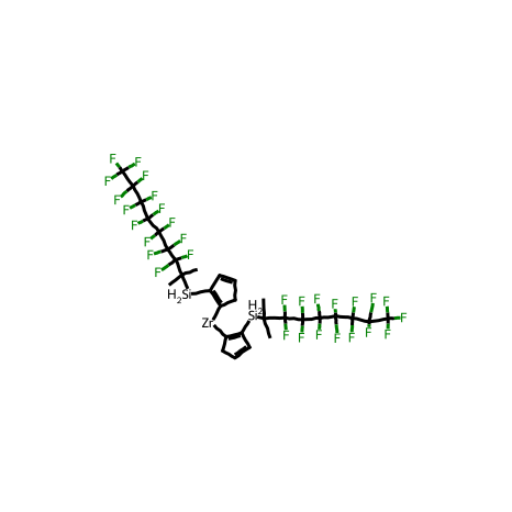 CC(C)([SiH2]C1=[C]([Zr][C]2=C([SiH2]C(C)(C)C(F)(F)C(F)(F)C(F)(F)C(F)(F)C(F)(F)C(F)(F)C(F)(F)F)C=CC2)CC=C1)C(F)(F)C(F)(F)C(F)(F)C(F)(F)C(F)(F)C(F)(F)C(F)(F)F